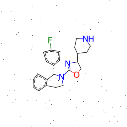 Fc1ccc([C@H]2c3ccccc3CCN2C2=NC(C3CCNCC3)CO2)cc1